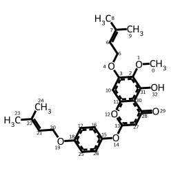 COc1c(OCC=C(C)C)cc2oc(Oc3ccc(OCC=C(C)C)cc3)cc(=O)c2c1O